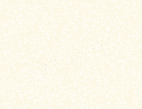 CC(C)OCC#CC(C)(C)C